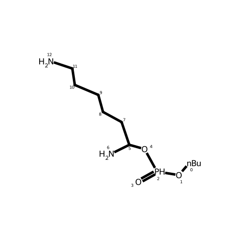 CCCCO[PH](=O)OC(N)CCCCCN